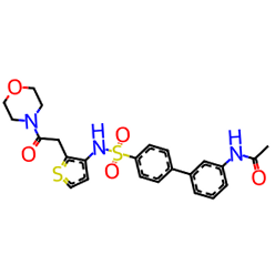 CC(=O)Nc1cccc(-c2ccc(S(=O)(=O)Nc3ccsc3CC(=O)N3CCOCC3)cc2)c1